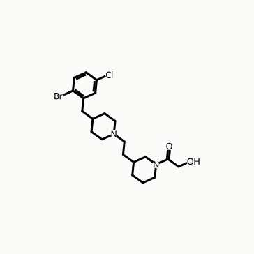 O=C(CO)N1CCCC(CCN2CCC(Cc3cc(Cl)ccc3Br)CC2)C1